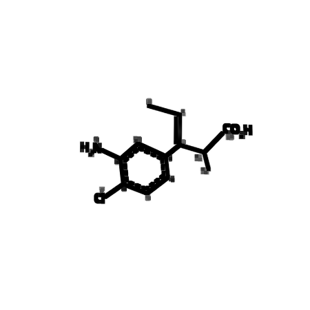 C/C=C(\c1ccc(Cl)c(N)c1)C(C)C(=O)O